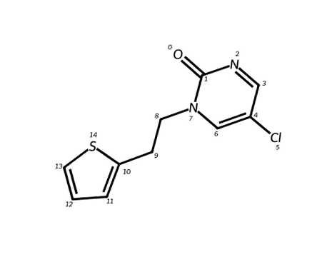 O=c1ncc(Cl)cn1CCc1cccs1